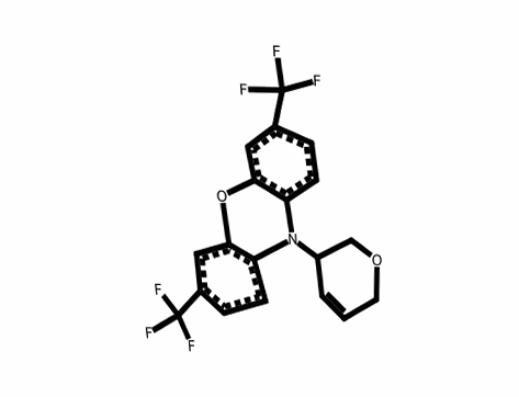 FC(F)(F)c1ccc2c(c1)Oc1cc(C(F)(F)F)ccc1N2C1C=CCOC1